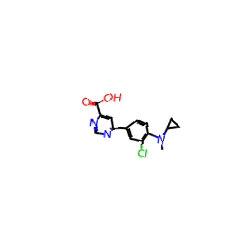 CN(c1ccc(-c2cc(C(=O)O)ncn2)cc1Cl)C1CC1